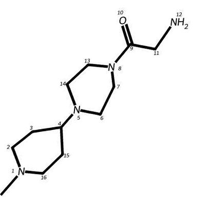 CN1CCC(N2CCN(C(=O)CN)CC2)CC1